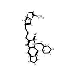 Cc1csc2nc(CCCc3cc4cc5c(cc4n(CC4CCCCC4)c3=O)CCC5)cn12